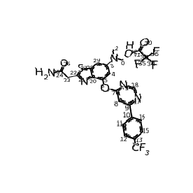 CN(C)c1cc(Oc2cc(-c3ccc(C(F)(F)F)cc3)ncn2)c2nc(CC(N)=O)sc2c1.O=C(O)C(F)(F)F